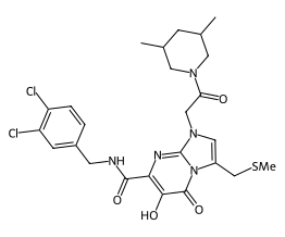 CSCc1cn(CC(=O)N2CC(C)CC(C)C2)c2nc(C(=O)NCc3ccc(Cl)c(Cl)c3)c(O)c(=O)n12